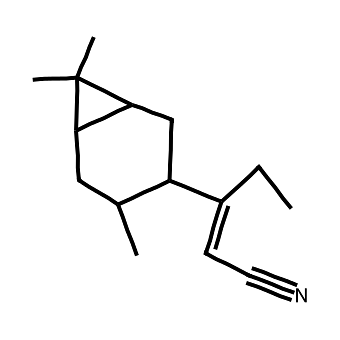 CCC(=CC#N)C1CC2C(CC1C)C2(C)C